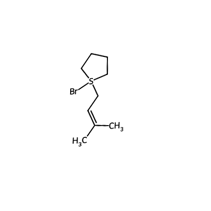 CC(C)=CCS1(Br)CCCC1